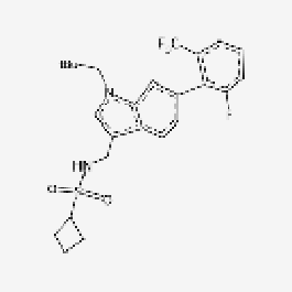 CC(C)(C)Cn1cc(CNS(=O)(=O)C2CCC2)c2ccc(-c3c(F)cccc3C(F)(F)F)cc21